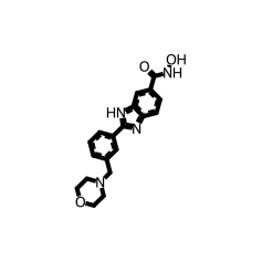 O=C(NO)c1ccc2nc(-c3cccc(CN4CCOCC4)c3)[nH]c2c1